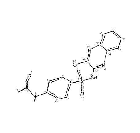 CC(=O)Nc1ccc(S(=O)(=O)Nc2nc3ccccc3nc2Cl)cc1